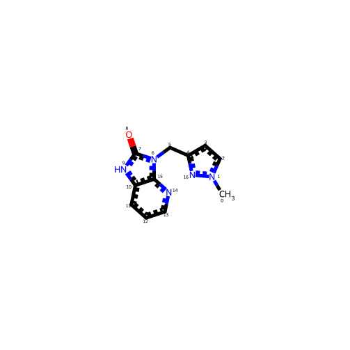 Cn1ccc(Cn2c(=O)[nH]c3cccnc32)n1